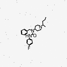 CCCC(C)N1CCC(N(Cc2ccccc2)C(=O)Nc2ccc(F)cc2)CC1